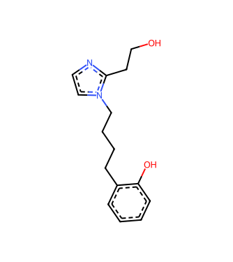 OCCc1nccn1CCCCc1ccccc1O